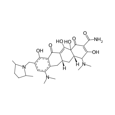 CC1CCC(C)N1Cc1cc(N(C)C)c2c(c1O)C(=O)C1=C(O)C3(O)C(=O)C(C(N)=O)=C(O)C(N(C)C)[C@@H]3C[C@@H]1C2